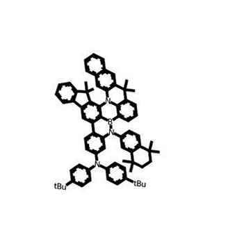 CC(C)(C)c1ccc(N(c2ccc(C(C)(C)C)cc2)c2ccc3c(c2)N(c2ccc4c(c2)C(C)(C)CCC4(C)C)B2c4cccc5c4N(c4cc6ccccc6cc4C5(C)C)c4c2c-3cc2c4C(C)(C)c3ccccc3-2)cc1